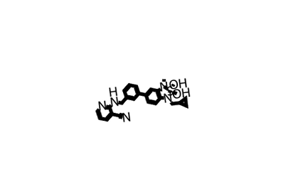 CN1c2cc(-c3cccc(CNc4ncccc4C#N)c3)ccc2N(CC2CC2)S1(O)O